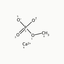 COP(=O)([O-])[O-].[Ca+2]